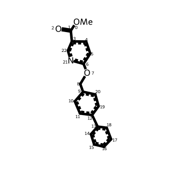 COC(=O)c1ccc(OCc2ccc(-c3ccccc3)cc2)nc1